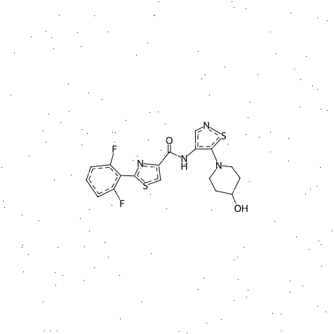 O=C(Nc1cnsc1N1CCC(O)CC1)c1csc(-c2c(F)cccc2F)n1